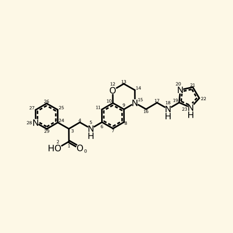 O=C(O)C(CNc1ccc2c(c1)OCCN2CCNc1ncc[nH]1)c1cccnc1